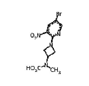 CN(C(=O)O)C1CN(c2ncc(Br)cc2[N+](=O)[O-])C1